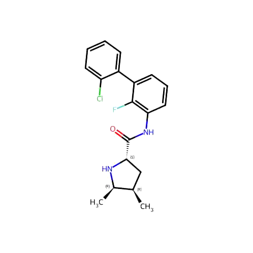 C[C@@H]1C[C@@H](C(=O)Nc2cccc(-c3ccccc3Cl)c2F)N[C@@H]1C